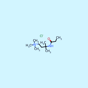 CCC(=O)NC(C)(C)CC[N+](C)(C)C.[Cl-]